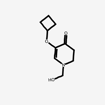 O=C1CCN(CO)C=C1OC1CCC1